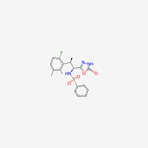 Cc1ccc(F)c([C@@H](C)[C@H](NS(=O)(=O)c2ccccc2)c2n[nH]c(=O)o2)c1C